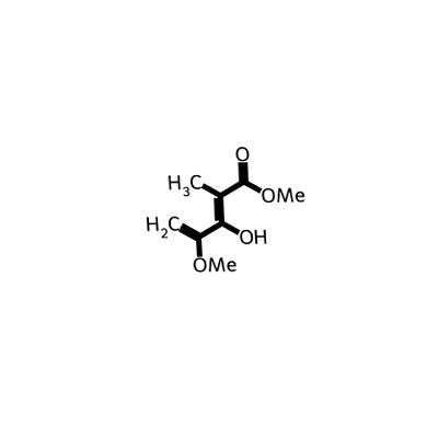 C=C(OC)/C(O)=C(\C)C(=O)OC